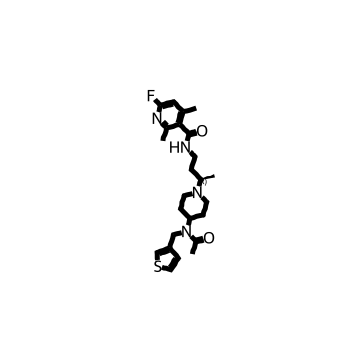 CC(=O)N(Cc1ccsc1)C1CCN([C@H](C)CCNC(=O)c2c(C)cc(F)nc2C)CC1